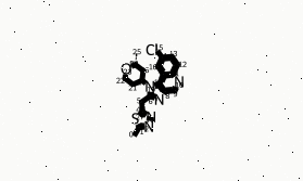 Cc1nnc(Cc2nc3cnc4ccc(Cl)cc4c3n2C2CCO[C@H](C)C2)s1